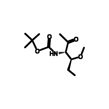 CC[C@H](OC)[C@H](NC(=O)OC(C)(C)C)C(C)=O